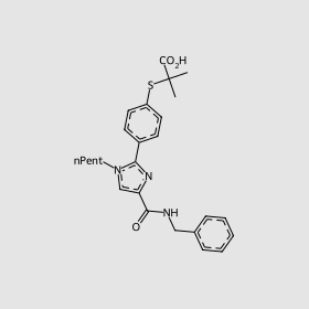 CCCCCn1cc(C(=O)NCc2ccccc2)nc1-c1ccc(SC(C)(C)C(=O)O)cc1